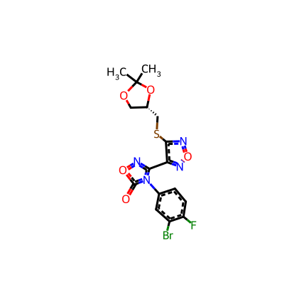 CC1(C)OC[C@@H](CSc2nonc2-c2noc(=O)n2-c2ccc(F)c(Br)c2)O1